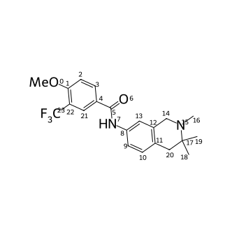 COc1ccc(C(=O)Nc2ccc3c(c2)CN(C)C(C)(C)C3)cc1C(F)(F)F